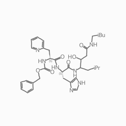 CCC(C)CNC(=O)CC(O)C(CC(C)C)NC(=O)[C@H](Cc1c[nH]cn1)NC(=O)[C@H](Cc1ccccn1)NC(=O)OCc1ccccc1